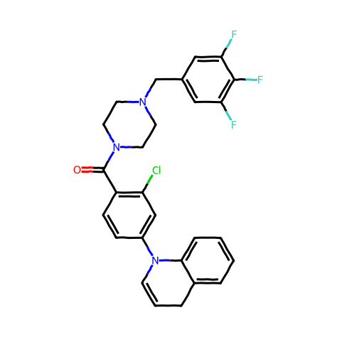 O=C(c1ccc(N2C=CCc3ccccc32)cc1Cl)N1CCN(Cc2cc(F)c(F)c(F)c2)CC1